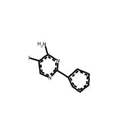 Nc1nc(-c2ccccc2)ncc1I